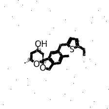 CCc1ccc(Cc2cc3c(cc2C)CO[C@@]32C[C@@H](O)C[C@@H](C)O2)s1